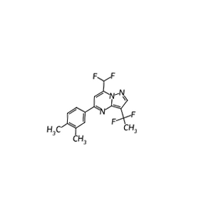 Cc1ccc(-c2cc(C(F)F)n3ncc(C(C)(F)F)c3n2)cc1C